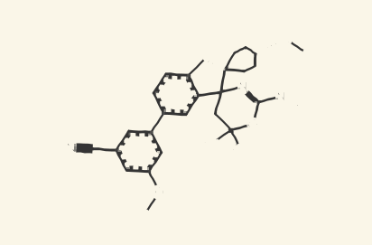 [2H]C1([2H])CC2(N=C(N)O1)c1cc(-c3cc(C#N)cc(OC)c3)ccc1C[C@]21CC[C@@H](OC)CC1